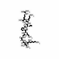 C=CC[C@H](NC(=O)[C@@H]1CCCN1C(=O)[C@@H](CCCN)NC(=O)CNC(=O)[C@H](C)NC(=O)[C@@H](NC(=O)[C@@H](N)CCCCN)[C@@H](O)CN)C(=O)N[C@@H](CCCCN)C(=O)N/C(=C\CCNC(=N)N)C(=O)O